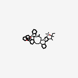 C=C1CC2C(CCc3ccc4c(oc5ccccc54)c3-c3n(-c4ccccc4)c4ccccc4[n+]31)c1ccccc1-c1cc(C(C)C(C)(C)CC)c([Si](C)(C)C)c[n+]12